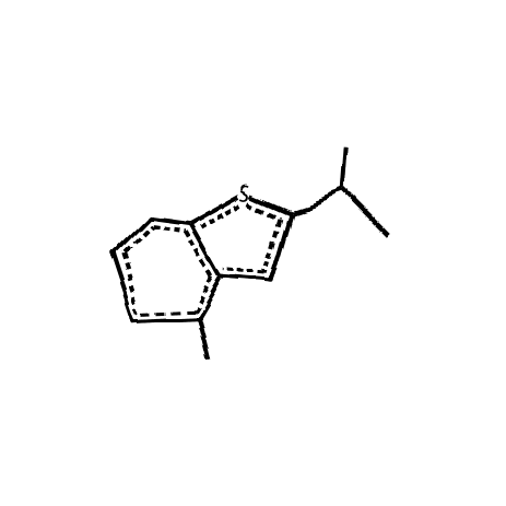 Cc1cccc2sc(C(C)C)cc12